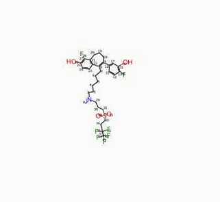 CN(CCCCCCC1=C(c2ccc(F)c(O)c2)CCCc2c1ccc(O)c2F)CCCS(=O)(=O)CCC(F)(F)C(F)(F)F